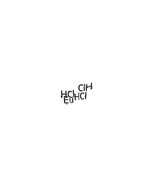 Cl.Cl.Cl.[Eu]